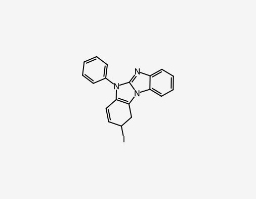 IC1C=Cc2c(n3c4ccccc4nc3n2-c2ccccc2)C1